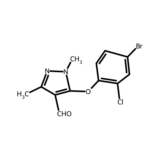 Cc1nn(C)c(Oc2ccc(Br)cc2Cl)c1C=O